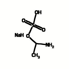 CC(N)OS(=O)(=O)O.[NaH]